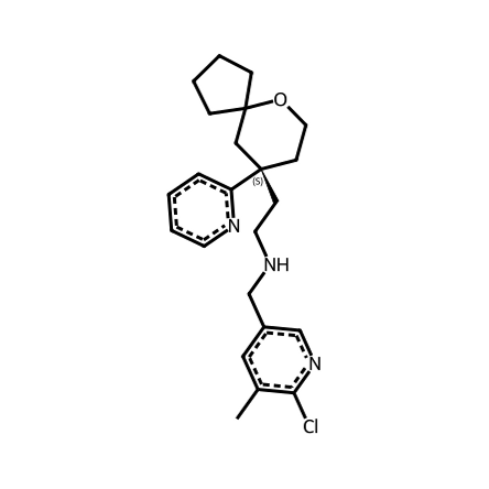 Cc1cc(CNCC[C@]2(c3ccccn3)CCOC3(CCCC3)C2)cnc1Cl